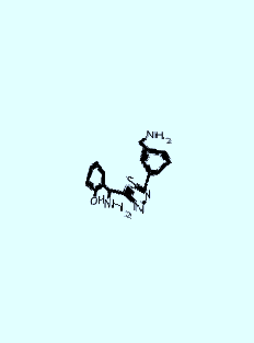 NCc1cccc(-c2nnc(C(N)c3ccccc3O)s2)c1